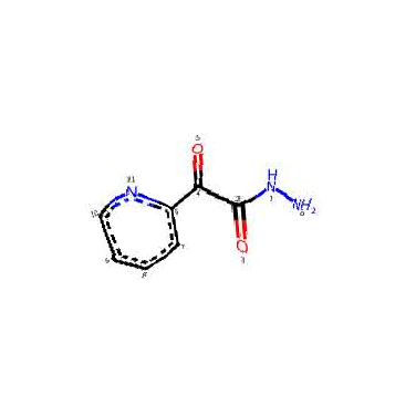 NNC(=O)C(=O)c1ccccn1